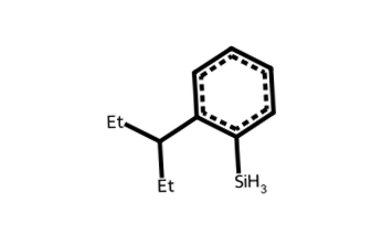 CCC(CC)c1ccccc1[SiH3]